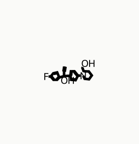 C#CC(O)(c1ccc(F)cc1)c1ccc(N2CCCCC2CO)cc1